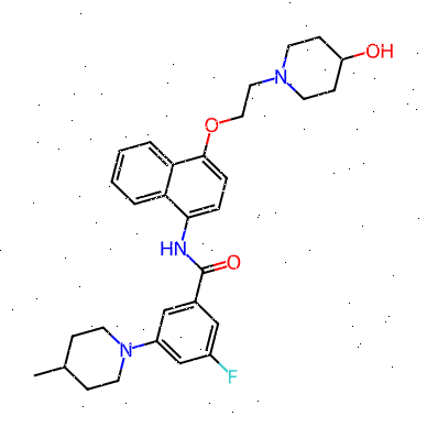 CC1CCN(c2cc(F)cc(C(=O)Nc3ccc(OCCN4CCC(O)CC4)c4ccccc34)c2)CC1